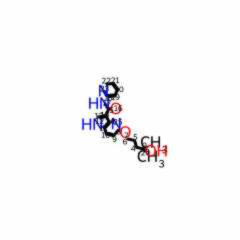 CC(C)(O)CCCOc1ccc2[nH]cc(C(=O)Nc3ccccn3)c2n1